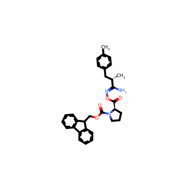 Cc1ccc(C[C@H](C)/C(N)=N/OC(=O)[C@H]2CCCN2C(=O)OCC2c3ccccc3-c3ccccc32)cc1